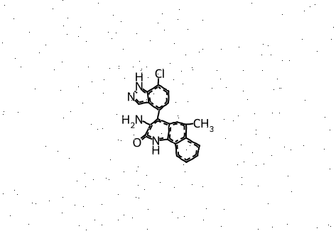 Cc1cc2c(-c3ccc(Cl)c4[nH]ncc34)c(N)c(=O)[nH]c2c2ccccc12